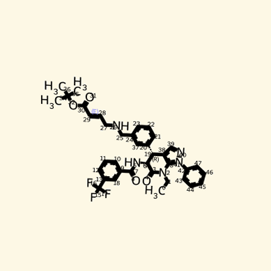 CCN1C(=O)[C@@H](NC(=O)c2cccc(C(F)(F)F)c2)[C@H](c2cccc(CNC/C=C/C(=O)OC(C)(C)C)c2)c2cnn(-c3ccccc3)c21